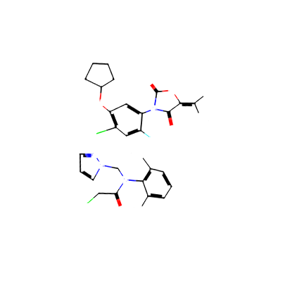 CC(C)=C1OC(=O)N(c2cc(OC3CCCC3)c(Cl)cc2F)C1=O.Cc1cccc(C)c1N(Cn1cccn1)C(=O)CCl